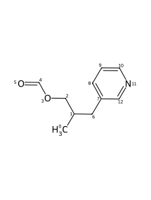 CC(COC=O)Cc1cccnc1